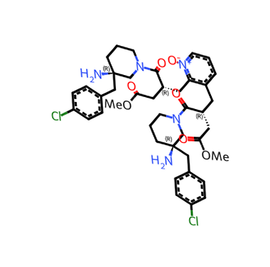 COC(=O)C[C@@H](Cc1ccc[n+]([O-])c1C[C@H](CC(=O)OC)C(=O)N1CCC[C@@](N)(Cc2ccc(Cl)cc2)C1)C(=O)N1CCC[C@@](N)(Cc2ccc(Cl)cc2)C1